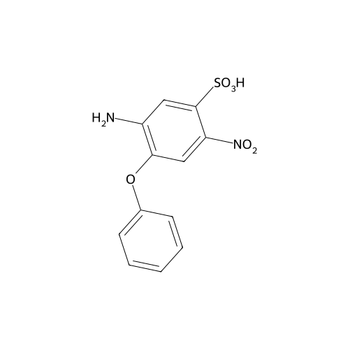 Nc1cc(S(=O)(=O)O)c([N+](=O)[O-])cc1Oc1ccccc1